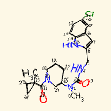 CN(C(=O)NCc1cc2cc(Cl)ccc2[nH]1)C1CCCN(C(=O)C2(C)CC2)C1